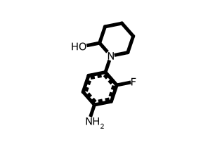 Nc1ccc(N2CCCCC2O)c(F)c1